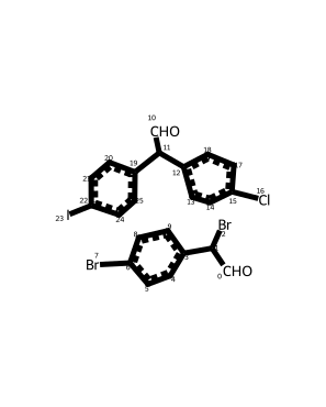 O=CC(Br)c1ccc(Br)cc1.O=CC(c1ccc(Cl)cc1)c1ccc(I)cc1